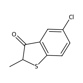 CC1Sc2ccc(Cl)cc2C1=O